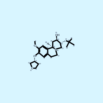 COc1cc2c(cc1O[C@@H]1CCOC1)CCN1C[C@@H](CC(C)(C)C)[C@H](O)C[C@H]21